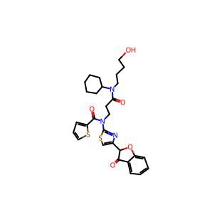 O=C1c2ccccc2OC1c1csc(N(CCC(=O)N(CCCCO)C2CCCCC2)C(=O)c2cccs2)n1